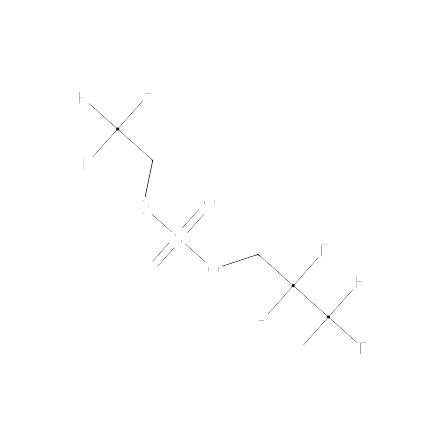 O=S(=O)(OCC(F)(F)F)OCC(F)(F)C(F)(F)F